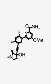 C=C1N(C)CC[C@@]1(O)C#Cc1cc(-c2cc(OC)cc(C(N)=O)n2)c(F)cc1F